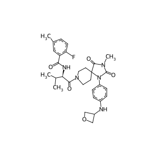 Cc1ccc(F)c(C(=O)N[C@@H](C(=O)N2CCC3(CC2)C(=O)N(C)C(=O)N3c2ccc(NC3COC3)cc2)C(C)C)c1